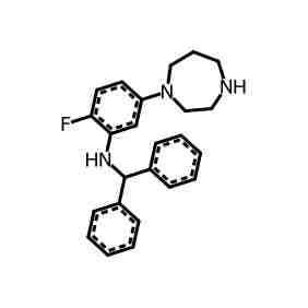 Fc1ccc(N2CCCNCC2)cc1NC(c1ccccc1)c1ccccc1